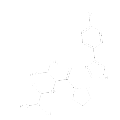 CC(C)C(NC(=O)N(C)C)C(=O)N1CCC[C@H]1c1nc(-c2ccc(Br)cc2)c[nH]1